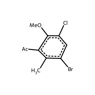 COc1c(Cl)cc(Br)c(C)c1C(C)=O